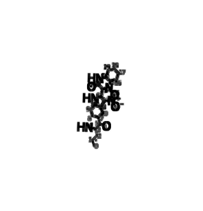 C[CH]CC(=N)C(=O)c1ccc2[nH]c(-c3nc4ccccc4[nH]c3=O)c([N+](=O)[O-])c2c1